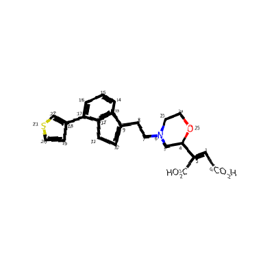 O=C(O)C=C(C(=O)O)C1CN(CCC2=CCc3c2cccc3-c2ccsc2)CCO1